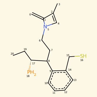 C=C1C(C)=CN1CCC(c1ccccc1CS)[C@H](P)CC